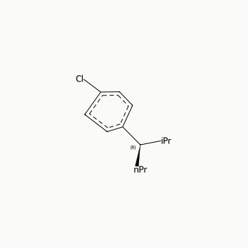 CCC[C@@H](c1ccc(Cl)cc1)C(C)C